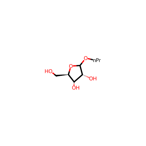 CCCOC1O[C@H](CO)[C@@H](O)[C@H]1O